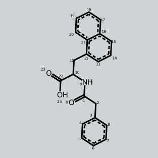 O=C(Cc1ccccc1)NC(Cc1cccc2ccccc12)C(=O)O